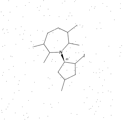 CC1CC(I)[C@H](N2C(C)C(C)CCC(C)C2C)C1